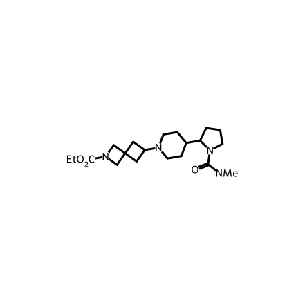 CCOC(=O)N1CC2(CC(N3CCC(C4CCCN4C(=O)NC)CC3)C2)C1